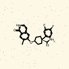 CCC(N)[C@]1(c2ccc(F)c(F)c2)CC[C@H](Oc2cc3cc[nH]c(=O)c3cc2C)CC1